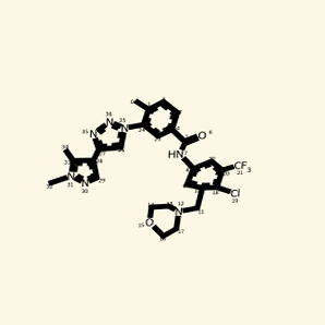 Cc1ccc(C(=O)Nc2cc(CN3CCOCC3)c(Cl)c(C(F)(F)F)c2)cc1-n1cc(-c2cnn(C)c2C)nn1